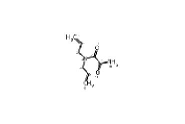 C=CCN(CC=C)C(=O)C(N)=O